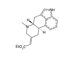 CCOC(=O)/C=C1/C[C@@H]2c3cccc4[nH]cc(c34)C[C@H]2N(C)C1